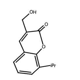 CC(C)c1cccc2cc(CO)c(=O)oc12